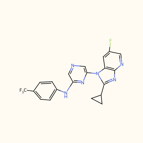 Fc1cnc2nc(C3CC3)n(-c3cncc(Nc4ccc(C(F)(F)F)cc4)n3)c2c1